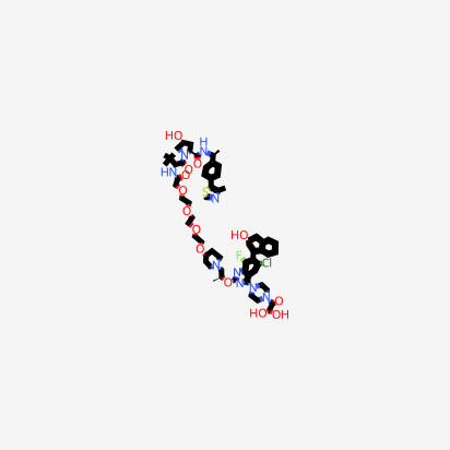 Cc1ncsc1-c1ccc([C@H](C)NC(=O)[C@@H]2C[C@@H](O)CN2C(=O)[C@@H](NC(=O)COCCOCCOCCOC2CCN(C[C@@H](C)Oc3nc(N4CCN(C(=O)C(O)O)CC4)c4cc(Cl)c(-c5cc(O)cc6ccccc56)c(F)c4n3)CC2)C(C)(C)C)cc1